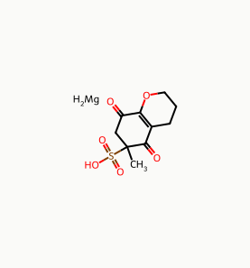 CC1(S(=O)(=O)O)CC(=O)C2=C(CCCO2)C1=O.[MgH2]